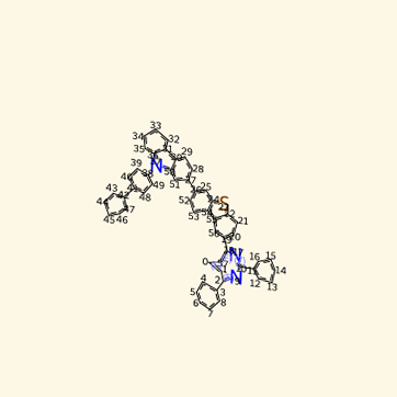 C1=C/C(c2ccccc2)=N\C(c2ccccc2)=N/C(c2ccc3sc4cc(-c5ccc6c7ccccc7n(-c7ccc(-c8ccccc8)cc7)c6c5)ccc4c3c2)=C/1